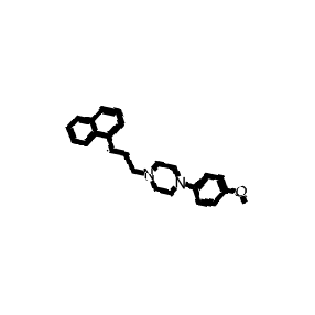 COc1ccc(N2CCN(CC[CH]c3cccc4ccccc34)CC2)cc1